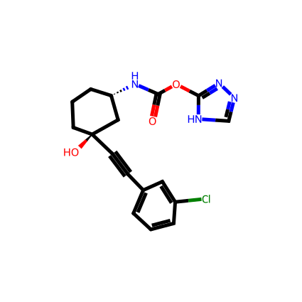 O=C(N[C@H]1CCC[C@@](O)(C#Cc2cccc(Cl)c2)C1)Oc1nnc[nH]1